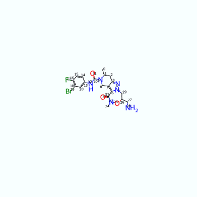 CC1Cc2nn3c(c2CN1C(=O)Nc1ccc(F)c(Br)c1)C(=O)N(C)OC(CN)C3